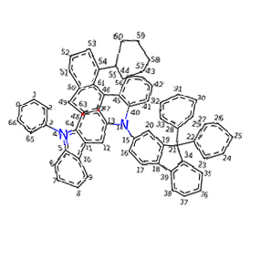 c1ccc(-n2c3ccccc3c3cc(N(c4ccc5c(c4)C(c4ccccc4)(c4ccccc4)c4ccccc4-5)c4ccccc4-c4cccc5cccc(C6CCCCC6)c45)ccc32)cc1